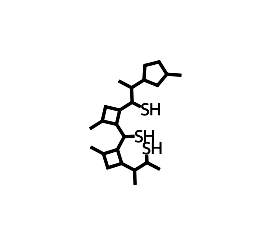 CC1CCC(C(C)C(S)C2CC(C)C2C(S)C2C(C)CC2C(C)C(C)S)C1